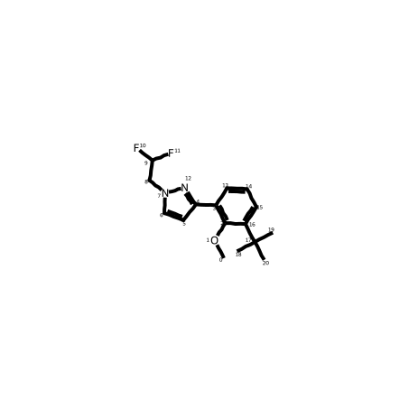 COc1c(-c2ccn(CC(F)F)n2)cccc1C(C)(C)C